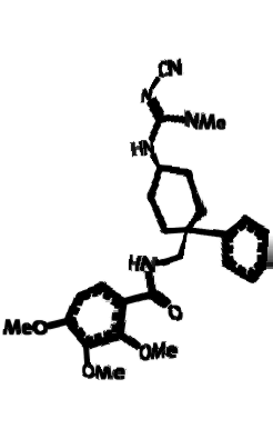 CN/C(=N\C#N)N[C@H]1CC[C@](CNC(=O)c2ccc(OC)c(OC)c2OC)(c2ccccc2)CC1